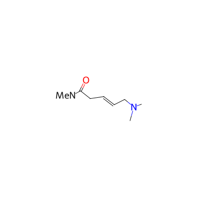 CNC(=O)C/C=C/CN(C)C